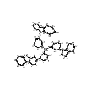 c1cc(-c2ccc3c(c2)oc2ccccc23)cc(N(c2cccc(-c3cccc4ccccc34)c2)c2cccc(-n3c4ccccc4c4ccccc43)c2)c1